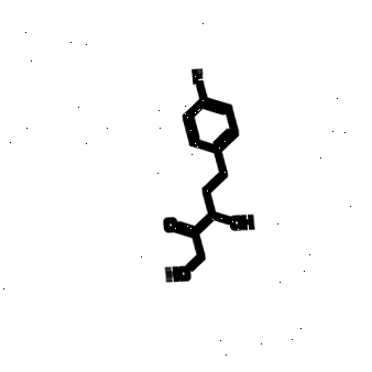 O=C(CO)C(O)CCc1ccc(F)cc1